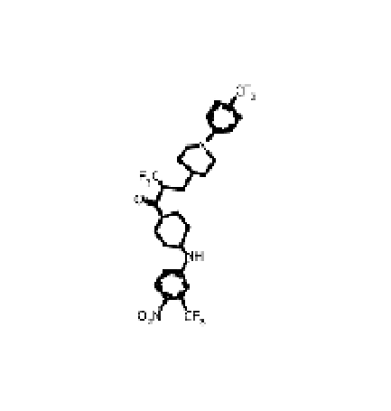 O=C(C1CCC(Nc2ccc([N+](=O)[O-])c(C(F)(F)F)c2)CC1)C(CC1CCN(c2ccc(C(F)(F)F)cc2)CC1)C(F)(F)F